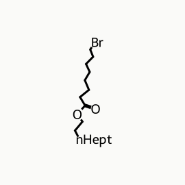 CCCCCCCCCOC(=O)CCCCCCCBr